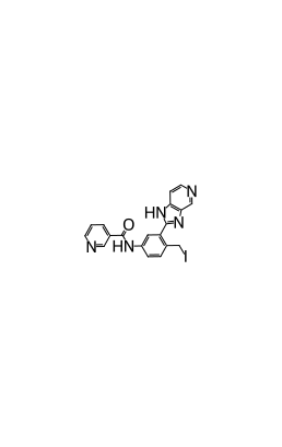 O=C(Nc1ccc(CI)c(-c2nc3cnccc3[nH]2)c1)c1cccnc1